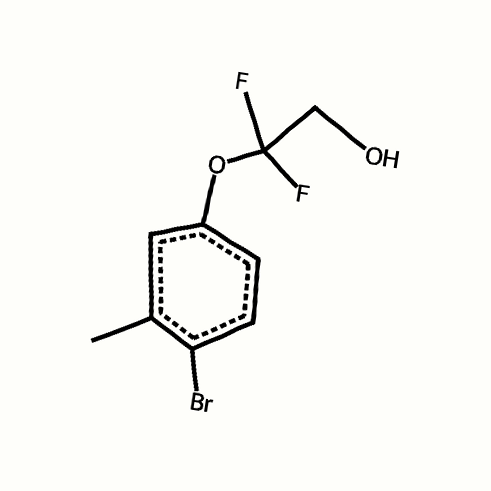 Cc1cc(OC(F)(F)CO)ccc1Br